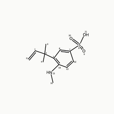 C=CC(C)(C)c1cc(S(=O)(=O)O)ccc1NC